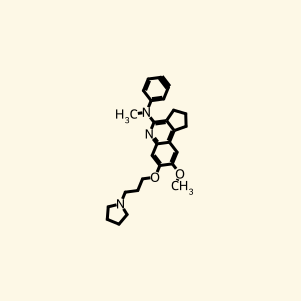 COc1cc2c3c(c(N(C)c4cc#ccc4)nc2cc1OCCCN1CCCC1)CCC3